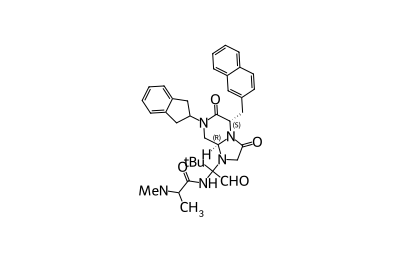 CNC(C)C(=O)NC(C=O)(N1CC(=O)N2[C@@H](Cc3ccc4ccccc4c3)C(=O)N(C3Cc4ccccc4C3)C[C@@H]21)C(C)(C)C